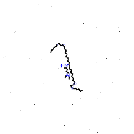 CCCCC/C=C\C/C=C\CCCCCCCCC(CCCCCCCC/C=C\C/C=C\CCCCC)NC(C)CCCN(CC)CC